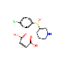 O=C(O)/C=C\C(=O)O.[O-][S+](c1ccc(Cl)cc1)C1CCCNC1